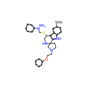 CSc1ccc2[nH]c3c(c2c1)C(SCN(N)c1ccccc1)CNC31CCN(CCOc2ccccc2)C1